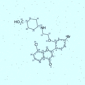 O=c1cc(-c2ccc(Br)cc2OCCN[C@H]2CC[C@@H](C(=O)O)CC2)oc2c(Cl)cccc12